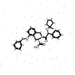 CC1(O[C@H](C(=O)N2Cc3cccc(OCc4ccccc4)c3C[C@@H]2C(=O)O)c2ccccc2)CCCC1